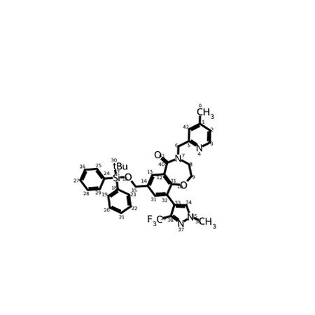 Cc1ccnc(CN2CCOc3c(cc(CO[Si](c4ccccc4)(c4ccccc4)C(C)(C)C)cc3-c3cn(C)nc3C(F)(F)F)C2=O)c1